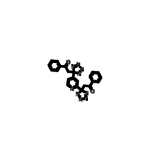 O=C(CC1(c2ccnc(C3(CC(=O)c4ccccc4)N=NN=N3)c2)N=NN=N1)c1ccccc1